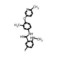 CNc1ccc(I)cc1C(=N)Nc1ccc(Oc2ccc(C)nc2)c(C)c1